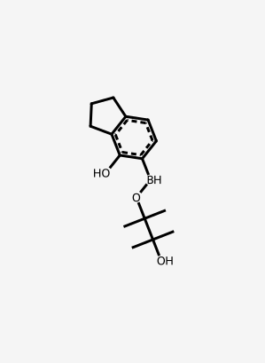 CC(C)(O)C(C)(C)OBc1ccc2c(c1O)CCC2